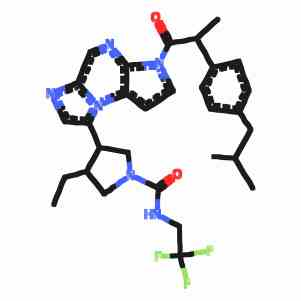 CCC1CN(C(=O)NCC(F)(F)F)CC1c1cnc2cnc3c(ccn3C(=O)C(C)c3ccc(CC(C)C)cc3)n12